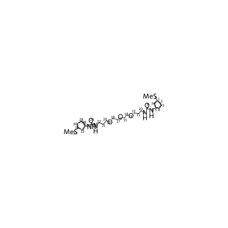 CSc1cccc(NC(=O)NCCCOCCOCCOCCCNC(=O)Nc2cccc(SC)c2)c1